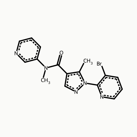 Cc1c(C(=O)N(C)c2cccnc2)cnn1-c1ncccc1Br